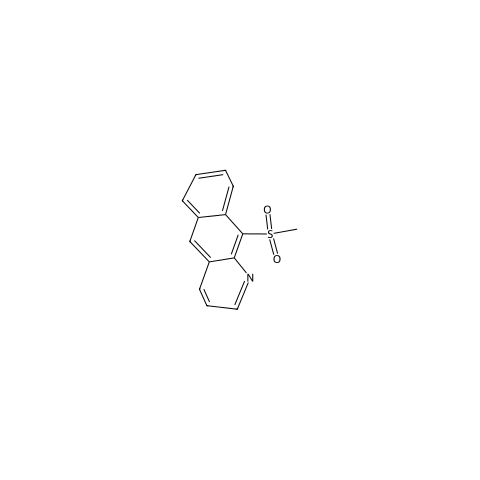 CS(=O)(=O)c1c2ccccc2cc2cccnc12